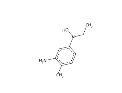 CCN(O)c1ccc(C)c(N)c1